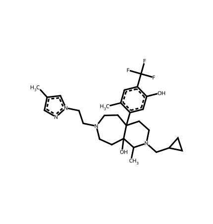 Cc1cnn(CCN2CCC3(c4cc(O)c(C(F)(F)F)cc4C)CCN(CC4CC4)C(C)C3(O)CC2)c1